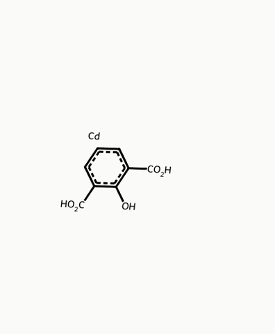 O=C(O)c1cccc(C(=O)O)c1O.[Cd]